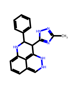 Cc1n[nH]c(C2C3=c4c(cccc4=CNN3)NC2c2ccccc2)n1